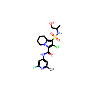 CC(CO)NS(=O)(=O)c1c(Cl)c(C(=O)Nc2cc(F)nc(C#N)c2)n2c1CCCC2